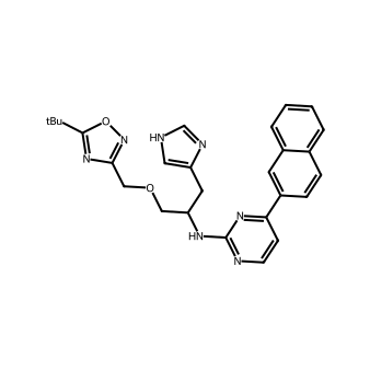 CC(C)(C)c1nc(COCC(Cc2c[nH]cn2)Nc2nccc(-c3ccc4ccccc4c3)n2)no1